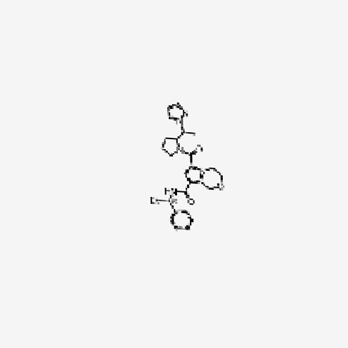 CC[C@@H](NC(=O)c1cc(C(=O)N2CCCC2C(C)n2cccn2)n2c1COCC2)c1ccccc1